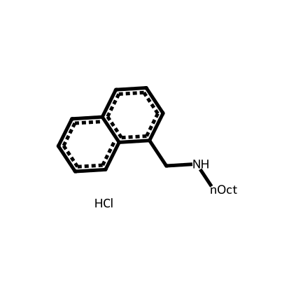 CCCCCCCCNCc1cccc2ccccc12.Cl